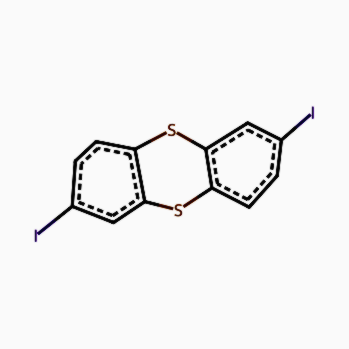 Ic1ccc2c(c1)Sc1ccc(I)cc1S2